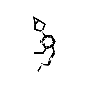 CCc1nc(N2CC3CC3C2)ccc1C=C=COC